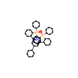 O=P(c1ccccc1)(c1ccccc1)c1ccccc1-c1cc(-c2ccccc2)cc(-c2ccccc2P(=O)(c2ccccc2)c2ccccc2)n1